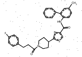 Cc1ccc(NC(=O)c2csc(C3CCN(C(=O)CCc4ccc(F)cc4)CC3)n2)c(-c2ccccc2)c1